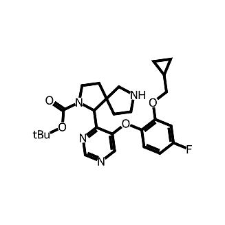 CC(C)(C)OC(=O)N1CCC2(CCNC2)C1c1ncncc1Oc1ccc(F)cc1OCC1CC1